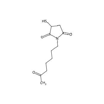 CC(=O)CCCCCN1C(=O)CC(S)C1=O